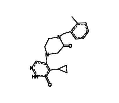 Cc1ccccc1CN1CCN(c2cn[nH]c(=O)c2C2CC2)CC1=O